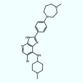 CN1CCC(Nc2c(Br)cnc3[nH]c(-c4ccc(N5CCCN(C)CC5)cc4)nc23)CC1